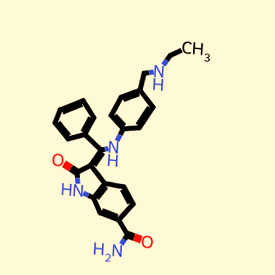 CCNCc1ccc(NC(=C2C(=O)Nc3cc(C(N)=O)ccc32)c2ccccc2)cc1